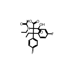 CCN(C(C)=O)C(C(=O)O)(C(=O)O)C(CC)(c1ccc(F)cc1)c1ccc(F)cc1